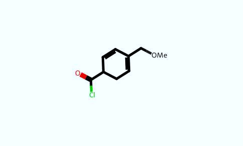 COCC1=CCC(C(=O)Cl)C=C1